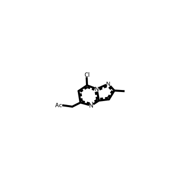 CC(=O)Cc1cc(Cl)n2nc(C)cc2n1